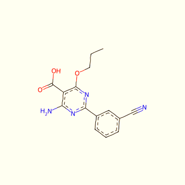 CCCOc1nc(-c2cccc(C#N)c2)nc(N)c1C(=O)O